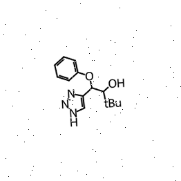 CC(C)(C)C(O)C(Oc1ccccc1)c1c[nH]nn1